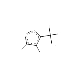 CCCCC(C)(CCC)c1nsc(C)c1F